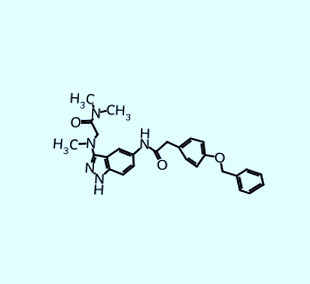 CN(C)C(=O)CN(C)c1n[nH]c2ccc(NC(=O)Cc3ccc(OCc4ccccc4)cc3)cc12